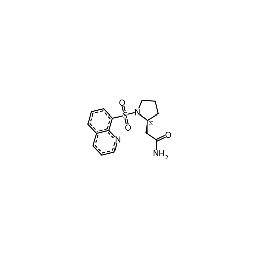 NC(=O)C[C@@H]1CCCN1S(=O)(=O)c1cccc2cccnc12